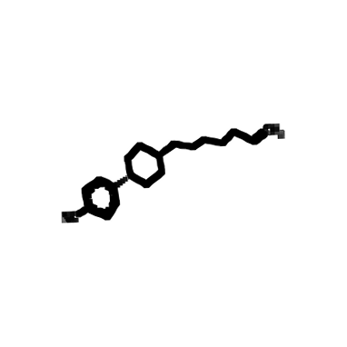 C=CCCCCC[C@H]1CC[C@H](c2ccc(C#N)cc2)CC1